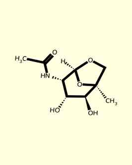 CC(=O)N[C@@H]1[C@H]2OC[C@](C)(O2)[C@@H](O)[C@@H]1O